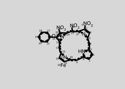 O=[N+]([O-])C1=Cc2cc3ccc(cc4nc(cc5c(-c6ccccc6)c([N+](=O)[O-])c(c([N+](=O)[O-])c1n2)n5[N+](=O)[O-])C=C4)[nH]3.[Fe]